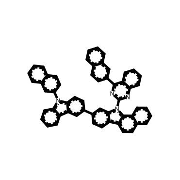 c1ccc2cc(-c3nc(-n4c5cc(-c6ccc7c(c6)c6ccccc6n7-c6ccc7ccccc7c6)ccc5c5ccc6ccccc6c54)nc4ccccc34)ccc2c1